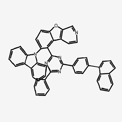 c1ccc(-c2nc(-c3ccc(-c4cccc5ccccc45)cc3)nc(-c3c(-n4c5ccccc5c5ccccc54)ccc4oc5cnccc5c34)n2)cc1